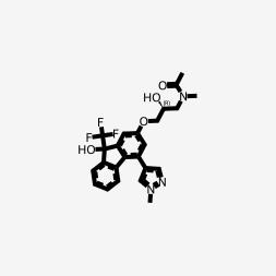 CC(=O)N(C)C[C@@H](O)COc1cc(-c2cnn(C)c2)c2c(c1)C(O)(C(F)(F)F)c1ccccc1-2